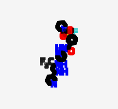 N=C(/C=C(\Nc1ccc(NC(=O)c2ccc(F)c(S(=O)(=O)N3CCCCC3)c2)nc1)C(F)(F)F)c1cccnc1